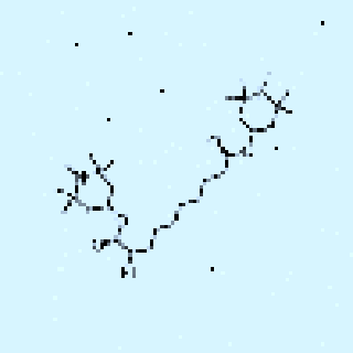 CCC(CCCCCCCC(=O)OC1CC(C)(C)N(C)C(C)(C)C1)C(=O)OC1CC(C)(C)N(C)C(C)(C)C1